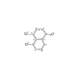 Clc1ccc(Cl)c2c(Cl)c[c]cc12